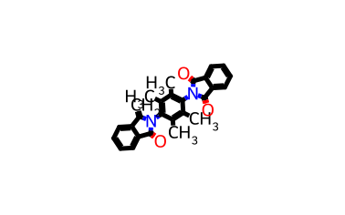 C=C1c2ccccc2C(=O)N1c1c(C)c(C)c(N2C(=O)c3ccccc3C2=O)c(C)c1C